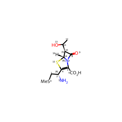 CSC[C@@H](N)C1=C(C(=O)O)N2C(=O)[C@H](C(C)O)[C@H]2S1